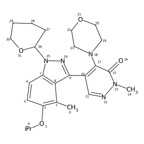 Cc1c(OC(C)C)ccc2c1c(-c1cnn(C)c(=O)c1N1CCOCC1)nn2C1CCCCO1